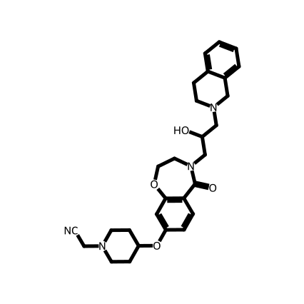 N#CCN1CCC(Oc2ccc3c(c2)OCCN(CC(O)CN2CCc4ccccc4C2)C3=O)CC1